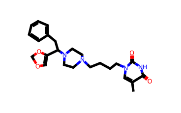 Cc1cn(CCCCN2CCN(C(Cc3ccccc3)C3=COCO3)CC2)c(=O)[nH]c1=O